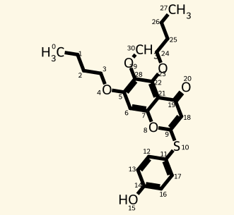 CCCCOc1cc2oc(Sc3ccc(O)cc3)cc(=O)c2c(OCCCC)c1OC